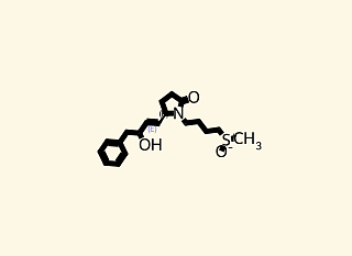 C[S+]([O-])CCCCN1C(=O)CC[C@@H]1/C=C/C(O)Cc1ccccc1